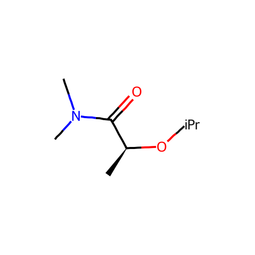 CC(C)O[C@@H](C)C(=O)N(C)C